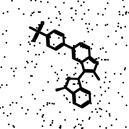 Cc1nc2ccc(-c3ccc(S(C)(=O)=O)cc3)cn2c1C1O[C@H](C)c2ccccc21